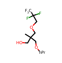 CCCOCC(C)(CO)COCC(F)(F)C(F)(F)F